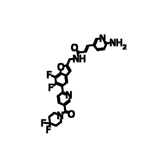 Nc1ccc(C=CC(=O)NCc2cc3cc(-c4ccc(C(=O)N5CCC(F)(F)CC5)cn4)c(F)c(F)c3o2)cn1